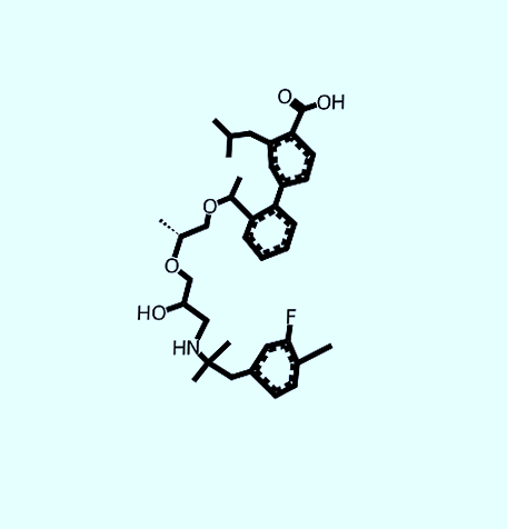 Cc1ccc(CC(C)(C)NCC(O)CO[C@H](C)COC(C)c2ccccc2-c2ccc(C(=O)O)c(CC(C)C)c2)cc1F